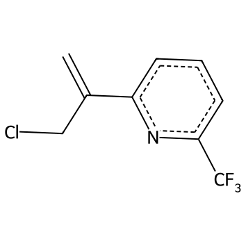 C=C(CCl)c1cccc(C(F)(F)F)n1